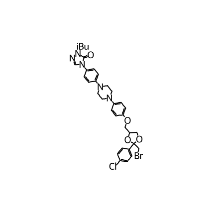 CCC(C)n1ncn(-c2ccc(N3CCN(c4ccc(OCC5COC(CBr)(c6ccc(Cl)cc6)O5)cc4)CC3)cc2)c1=O